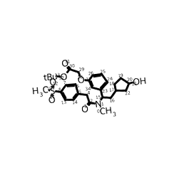 CN(C(=O)Cc1ccc(S(C)(=O)=O)cc1)C(CC1CCC(O)C1)c1cccc(OCC(=O)OC(C)(C)C)c1